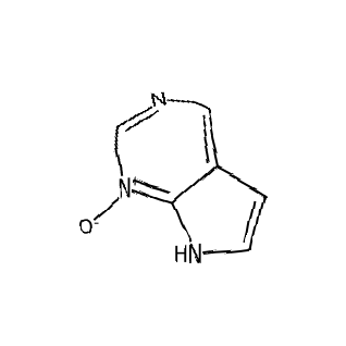 [O-][n+]1cncc2cc[nH]c21